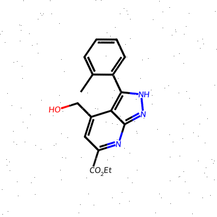 CCOC(=O)c1cc(CO)c2c(-c3ccccc3C)[nH]nc2n1